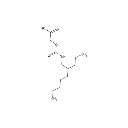 CCCCCC(CCC)CNC(=O)OCC(=O)O